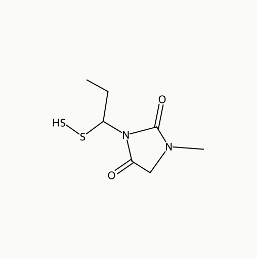 CCC(SS)N1C(=O)CN(C)C1=O